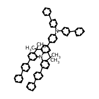 CC1(C)c2ccc(-c3ccc(-c4ccccc4)cc3)cc2N2c3cc(-c4ccc(-c5ccccc5)cc4)ccc3C(C)(C)c3cc(-c4ccc(N(c5ccc(-c6ccccc6)cc5)c5ccc(-c6ccccc6)cc5)cc4)cc1c32